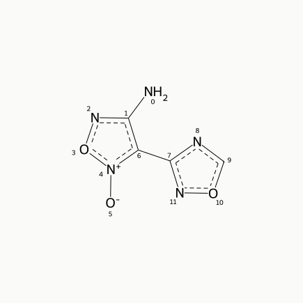 Nc1no[n+]([O-])c1-c1ncon1